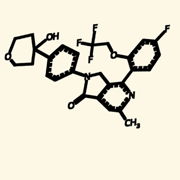 Cc1cc2c(c(-c3ccc(F)cc3OCC(F)(F)F)n1)CN(c1ccc(C3(O)CCOCC3)cc1)C2=O